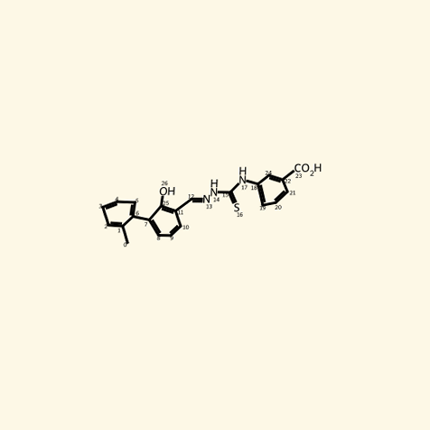 Cc1ccccc1-c1cccc(C=NNC(=S)Nc2cccc(C(=O)O)c2)c1O